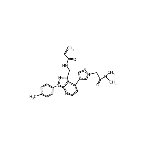 C=CC(=O)NCc1nn(-c2ccc(C)cc2)c2nccc(-c3cnn(CC(=O)N(C)C)c3)c12